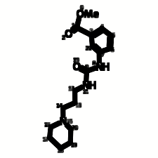 COC(=O)c1cccc(NC(=O)NCCCN2CCCCC2)c1